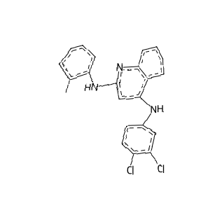 Cc1ccccc1Nc1cc(Nc2ccc(Cl)c(Cl)c2)c2ccccc2n1